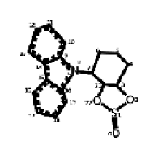 O=S1OC2CCCC(n3c4ccccc4c4ccccc43)C2O1